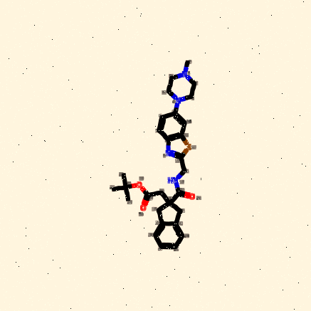 CN1CCN(c2ccc3nc(CNC(=O)C4(CC(=O)OC(C)(C)C)Cc5ccccc5C4)sc3c2)CC1